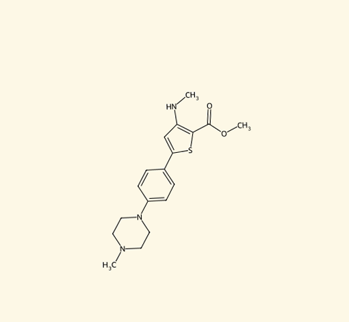 CNc1cc(-c2ccc(N3CCN(C)CC3)cc2)sc1C(=O)OC